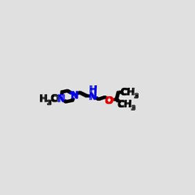 CCC(C)OCCNCCN1CCN(C)CC1